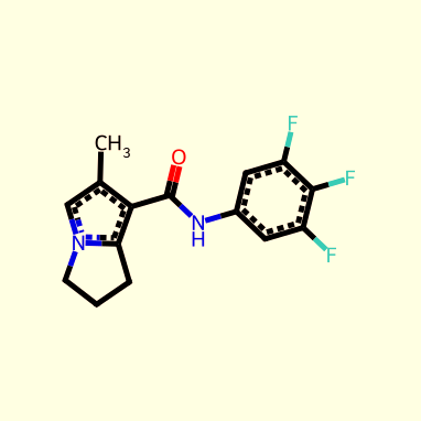 Cc1cn2c(c1C(=O)Nc1cc(F)c(F)c(F)c1)CCC2